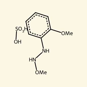 CONNc1ccccc1OC.O=S(=O)(O)O